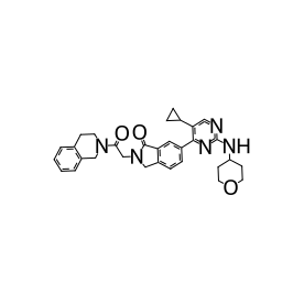 O=C(CN1Cc2ccc(-c3nc(NC4CCOCC4)ncc3C3CC3)cc2C1=O)N1CCc2ccccc2C1